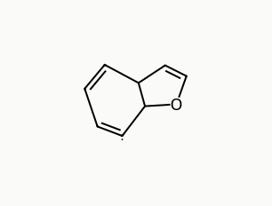 [C]1=CC=CC2C=COC12